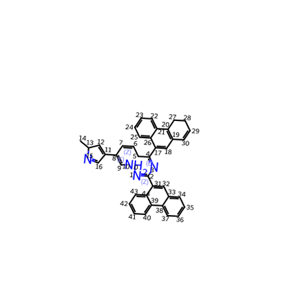 C/N=C(\N=C(/C/C=C\C(=C/N)C1=CC(C)N=C1)c1cc2c(c3ccccc13)CCC=C2)c1cc2ccccc2c2ccccc12